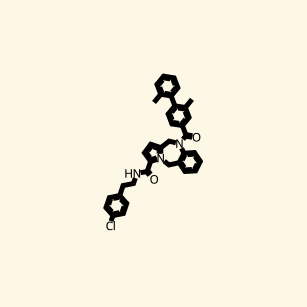 Cc1ccccc1-c1ccc(C(=O)N2Cc3ccc(C(=O)NCCc4ccc(Cl)cc4)n3Cc3ccccc32)cc1C